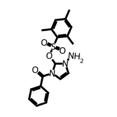 Cc1cc(C)c(S(=O)(=O)OC2N(N)C=CN2C(=O)c2ccccc2)c(C)c1